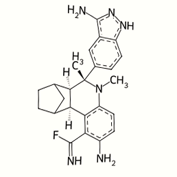 CN1c2ccc(N)c(C(=N)F)c2[C@H]2C3CCC(C3)[C@H]2[C@]1(C)c1ccc2[nH]nc(N)c2c1